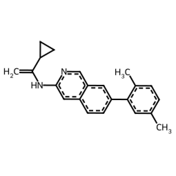 C=C(Nc1cc2ccc(-c3cc(C)ccc3C)cc2cn1)C1CC1